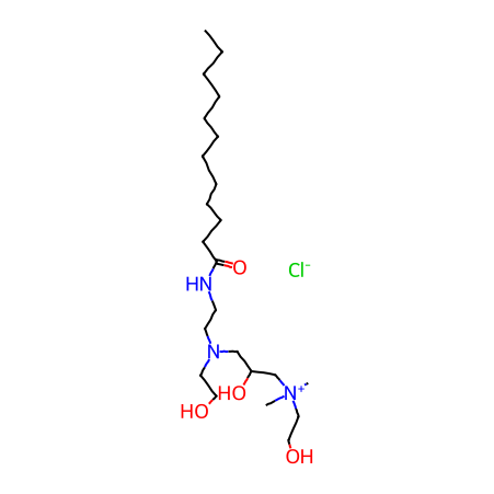 CCCCCCCCCCCC(=O)NCCN(CCO)CC(O)C[N+](C)(C)CCO.[Cl-]